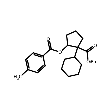 Cc1ccc(C(=O)OC2CCCC2(C(=O)OCC(C)C)C2CCCCC2)cc1